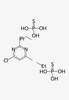 CC.CCC.Cc1cc(Cl)nc(C(C)C)n1.OP(O)(O)=S.OP(O)(O)=S